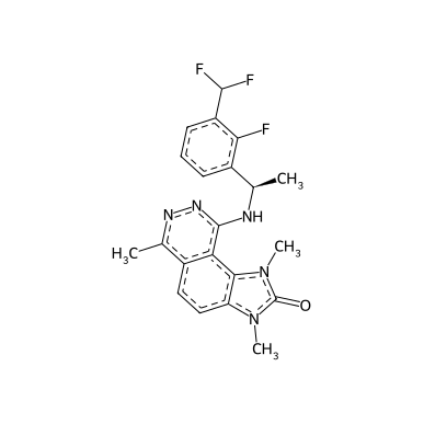 Cc1nnc(N[C@H](C)c2cccc(C(F)F)c2F)c2c1ccc1c2n(C)c(=O)n1C